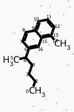 CCCCC(C)c1ccc2cccc(C)c2c1